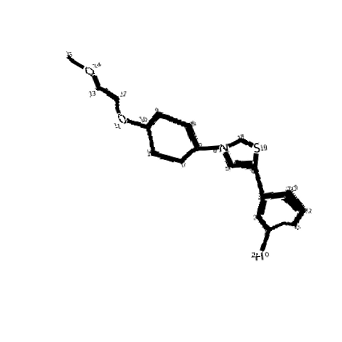 [2H]C1C=C(C2=CN(C3CCC(OCCOC)CC3)CS2)C=CC1